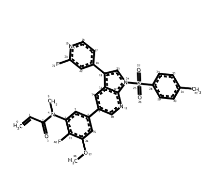 C=CC(=O)N(C)c1cc(-c2cnc3c(c2)c(-c2ccnc(F)c2)cn3S(=O)(=O)c2ccc(C)cc2)cc(OC)c1F